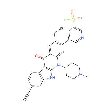 C#Cc1ccc2c(c1)[nH]c1c2c(=O)c2cc(CC(C)C)c(-c3cncc(S(=O)(=O)F)c3)cc2n1C1CCN(C)CC1